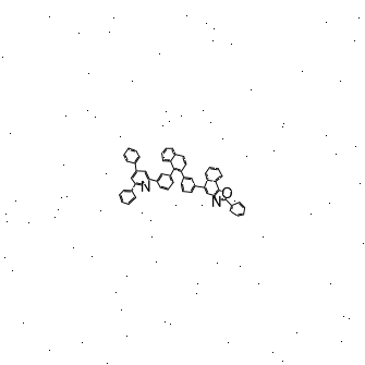 c1ccc(-c2cc(-c3ccccc3)nc(-c3cccc(-c4c(-c5cccc(-c6cc7nc(-c8ccccc8)oc7c7ccccc67)c5)ccc5ccccc45)c3)c2)cc1